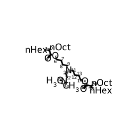 CCCCCCCCC(CCCCCC)C(=O)OCCCCN(CCCCOC(=O)C(CCCCCC)CCCCCCCC)CCN(C)C